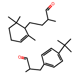 CC(C=O)Cc1ccc(C(C)(C)C)cc1.CC1=CCCC(C)(C)C1CCC(C)C=O